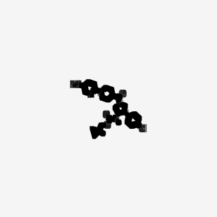 CN(C(=O)OCC1(C)CC1)[C@@H]1CN(C(=O)C2CCN(c3ccc(C#N)cn3)CC2)C[C@H]1c1ccc(Cl)cc1